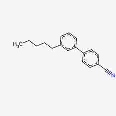 CCCCCc1cccc(-c2ccc(C#N)cc2)c1